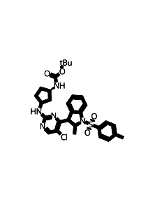 Cc1ccc(S(=O)(=O)N2c3ccccc3C(c3nc(NC4CC[C@@H](NC(=O)OC(C)(C)C)C4)ncc3Cl)C2C)cc1